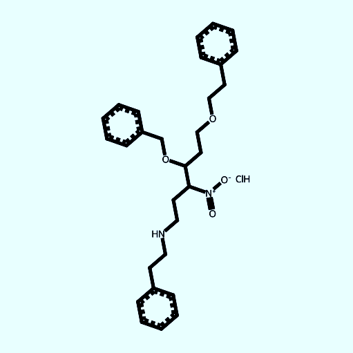 Cl.O=[N+]([O-])C(CCNCCc1ccccc1)C(CCOCCc1ccccc1)OCc1ccccc1